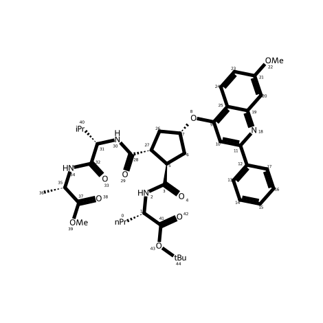 CCC[C@H](NC(=O)[C@@H]1C[C@@H](Oc2cc(-c3ccccc3)nc3cc(OC)ccc23)C[C@H]1C(=O)N[C@H](C(=O)N[C@@H](C)C(=O)OC)C(C)C)C(=O)OC(C)(C)C